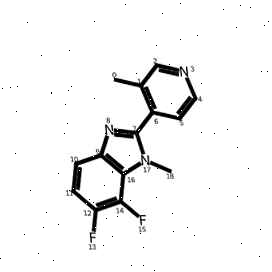 Cc1cnccc1-c1nc2ccc(F)c(F)c2n1C